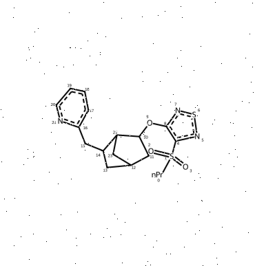 CCCS(=O)(=O)c1nsnc1OC1CC2CC(Cc3ccccn3)C1C2